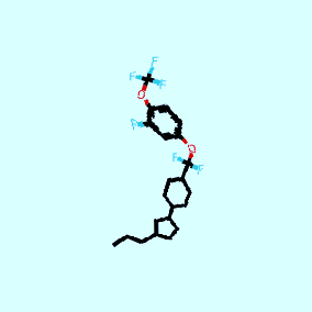 CCCC1CCC(C2CCC(C(F)(F)Oc3ccc(OC(F)(F)F)c(F)c3)CC2)C1